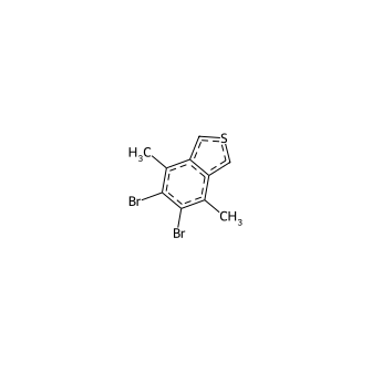 Cc1c(Br)c(Br)c(C)c2cscc12